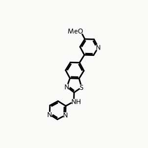 COc1cncc(-c2ccc3nc(Nc4ccncn4)sc3c2)c1